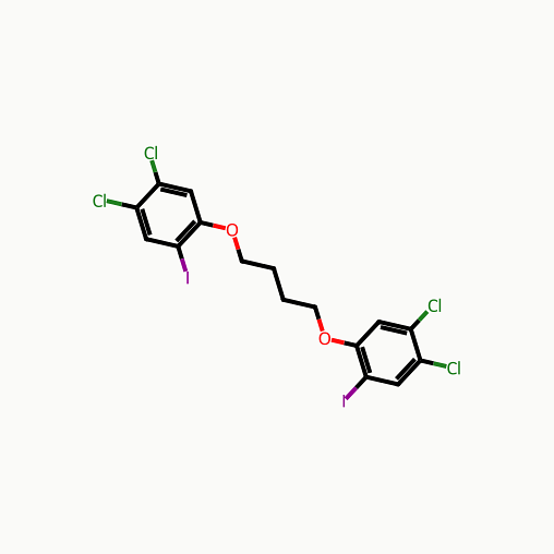 Clc1cc(I)c(OCCCCOc2cc(Cl)c(Cl)cc2I)cc1Cl